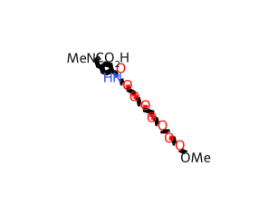 CN[C@@H](Cc1ccc(C(=O)NCCOCCOCCOCCOCCOCCOCCOCCOC)cc1)C(=O)O